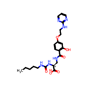 CCCCCNC(=O)N[C@@H](CNC(=O)c1ccc(OCCNc2ncccn2)cc1O)C(=O)O